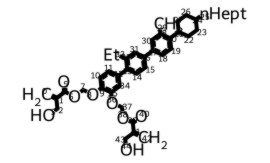 C=C(CO)C(=O)OCOc1ccc(-c2ccc(-c3ccc(C4CCC(CCCCCCC)CC4)c(C)c3)cc2CC)cc1OCOC(=O)C(=C)CO